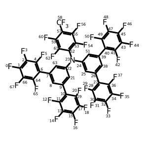 Fc1c(F)c(F)c(-c2cc(-c3c(F)c(F)c(F)c(F)c3F)cc(N(c3cc(-c4c(F)c(F)c(F)c(F)c4F)cc(-c4c(F)c(F)c(F)c(F)c4F)c3)c3c(F)c(F)c(C(F)(F)F)c(F)c3F)c2)c(F)c1F